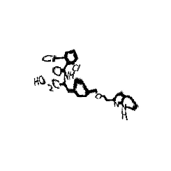 O=C(NC(Cc1ccc(COCCc2ccc3c(n2)NCCC3)cc1)C(=O)O)c1c(Cl)cccc1Cl